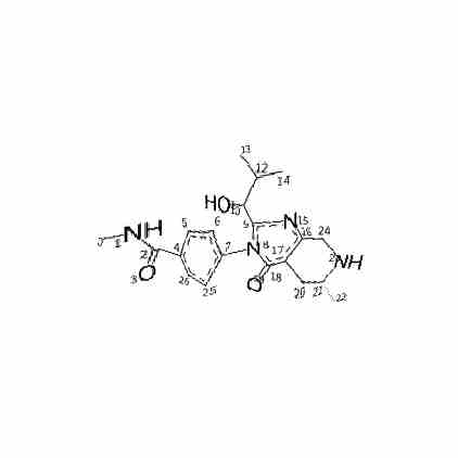 CNC(=O)c1ccc(-n2c(C(O)C(C)C)nc3c(c2=O)C[C@@H](C)NC3)cc1